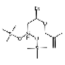 C=C(C)COC(CC)C[SiH](O[Si](C)(C)C)O[Si](C)(C)C